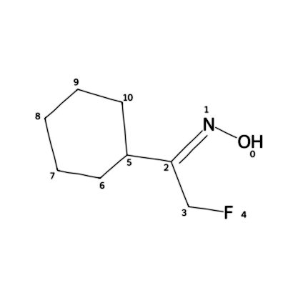 ON=C(CF)C1CCCCC1